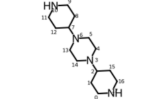 C1CC(N2CCN(C3CCNCC3)CC2)CCN1